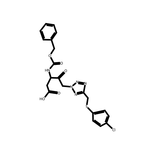 O=C(O)CC(NC(=O)OCc1ccccc1)C(=O)Cn1nnc(CSc2ccc(Cl)cc2)n1